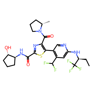 CC[C@H](Nc1cc(C(F)F)c(-c2sc(C(=O)N[C@H]3CCC[C@@H]3O)nc2C(=O)N2CCC[C@@H]2C)cn1)C(F)(F)F